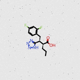 CCC[C@H](C(=O)O)[C@H](Cc1ccc(F)cc1F)c1nnn[nH]1